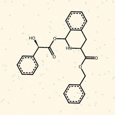 O=C(OCc1ccccc1)C1Cc2ccccc2C(OC(=O)[C@H](O)c2ccccc2)N1